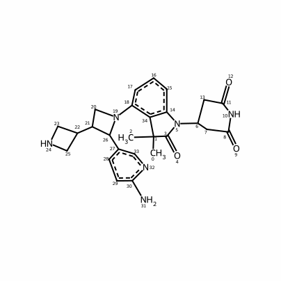 CC1(C)C(=O)N(C2CC(=O)NC(=O)C2)c2cccc(N3CC(C4CNC4)C3c3ccc(N)nc3)c21